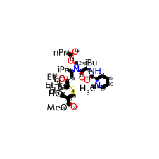 C#C/C(=C\SC(=C)[C@@H](CC(C(C)C)N(COC(=O)CCC)C(=O)[C@@H](NC(=O)[C@H]1CCCCN1C)[C@@H](C)CC)O[Si](CC)(CC)CC)C(=O)OC